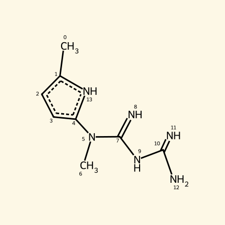 Cc1ccc(N(C)C(=N)NC(=N)N)[nH]1